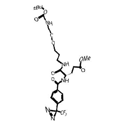 COC(=O)CC[C@H](NC(=O)c1ccc(C2(C(F)(F)F)N=N2)cc1)C(=O)NCCCOCCCNC(=O)OC(C)(C)C